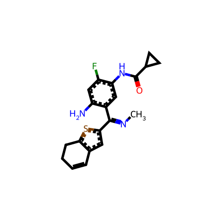 C/N=C(/c1cc2c(s1)CCC=C2)c1cc(NC(=O)C2CC2)c(F)cc1N